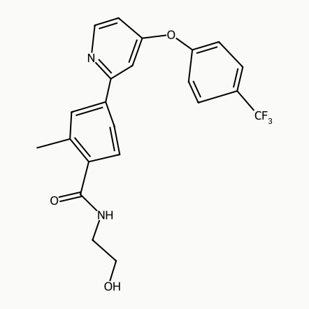 Cc1cc(-c2cc(Oc3ccc(C(F)(F)F)cc3)ccn2)ccc1C(=O)NCCO